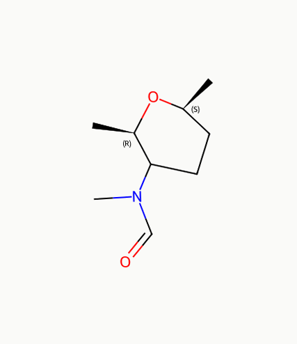 C[C@H]1CCC(N(C)C=O)[C@@H](C)O1